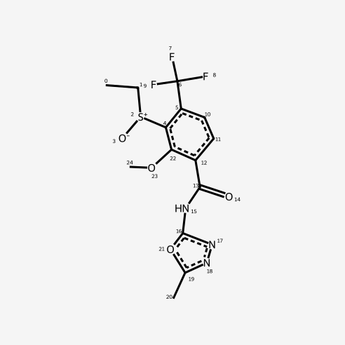 CC[S+]([O-])c1c(C(F)(F)F)ccc(C(=O)Nc2nnc(C)o2)c1OC